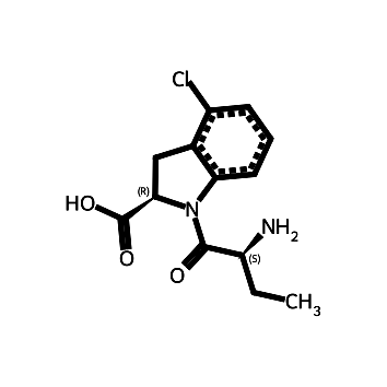 CC[C@H](N)C(=O)N1c2cccc(Cl)c2C[C@@H]1C(=O)O